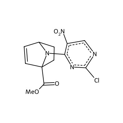 COC(=O)C12C=CC(CC1)N2c1nc(Cl)ncc1[N+](=O)[O-]